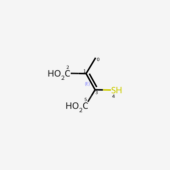 C/C(C(=O)O)=C(\S)C(=O)O